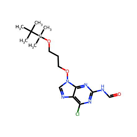 CC(C)(C)[Si](C)(C)OCCCOn1cnc2c(Cl)nc(NC=O)nc21